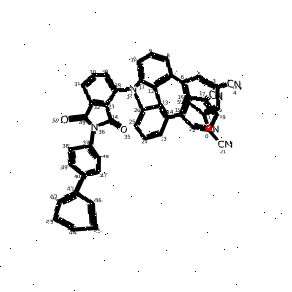 N#Cc1cc(C#N)cc(-c2cccc3c2c2c(-c4cc(C#N)cc(C#N)c4)cccc2n3-c2cccc3c2C(=O)N(c2ccc(-c4ccccc4)cc2)C3=O)c1